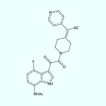 [C-]#[N+]C(=C1CCN(C(=O)C(=O)c2c[nH]c3c(NC(C)=O)ccc(F)c23)CC1)c1ccncc1